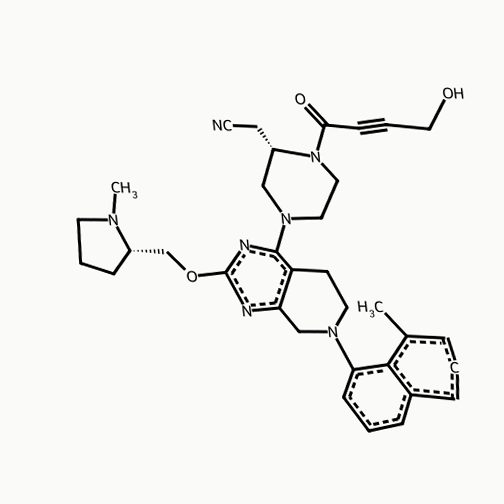 Cc1cccc2cccc(N3CCc4c(nc(OC[C@@H]5CCCN5C)nc4N4CCN(C(=O)C#CCO)[C@@H](CC#N)C4)C3)c12